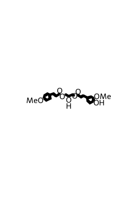 COc1ccc(/C=C/C(=O)OCC(O)COC(=O)/C=C/c2ccc(O)c(OC)c2)cc1